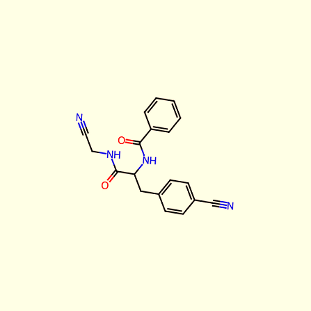 N#CCNC(=O)C(Cc1ccc(C#N)cc1)NC(=O)c1ccccc1